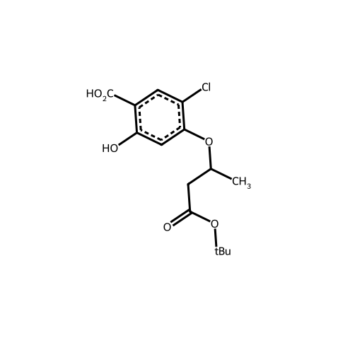 CC(CC(=O)OC(C)(C)C)Oc1cc(O)c(C(=O)O)cc1Cl